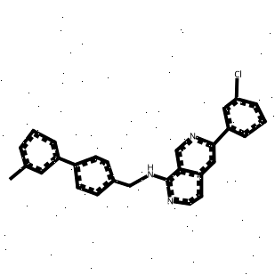 Cc1cccc(-c2ccc(CNc3nccc4cc(-c5cccc(Cl)c5)ncc34)cc2)c1